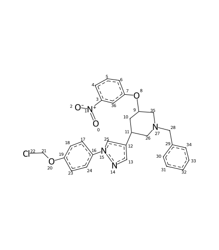 O=[N+]([O-])c1cccc(OC2CC(c3cnn(-c4ccc(OCCl)cc4)c3)CN(Cc3ccccc3)C2)c1